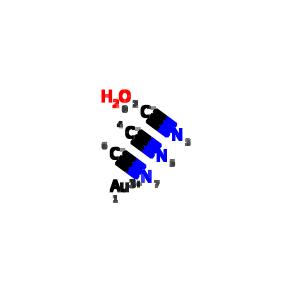 O.[Au+3].[C-]#N.[C-]#N.[C-]#N